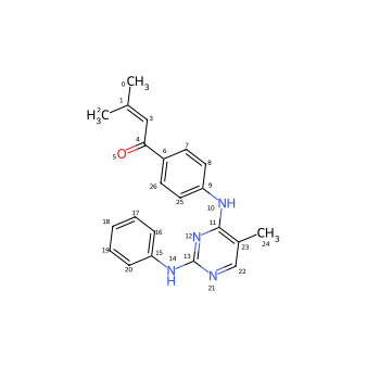 CC(C)=CC(=O)c1ccc(Nc2nc(Nc3ccccc3)ncc2C)cc1